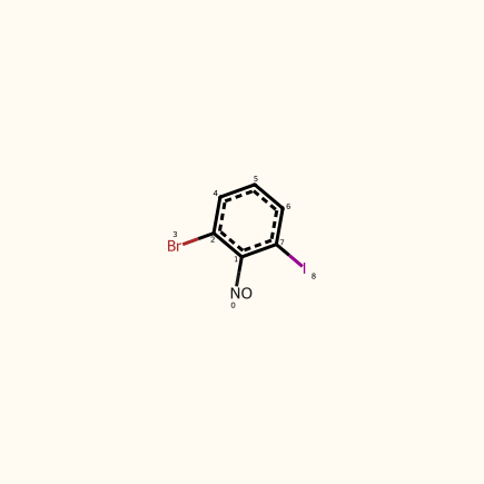 O=Nc1c(Br)cccc1I